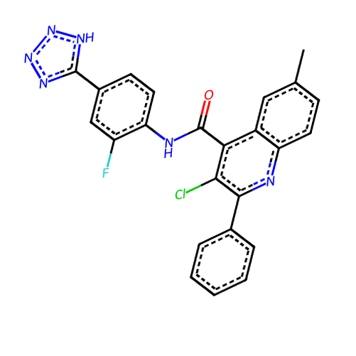 Cc1ccc2nc(-c3ccccc3)c(Cl)c(C(=O)Nc3ccc(-c4nnn[nH]4)cc3F)c2c1